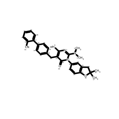 CCCc1nc(N(C)C)n(-c2ccc3c(c2)CC(C)(C)O3)c(=O)c1Cc1ccc(-c2ccccc2C#N)cc1